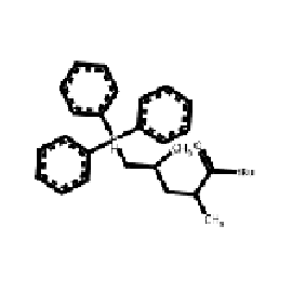 CC(CC(C)C(=O)C(C)(C)C)C[PH](c1ccccc1)(c1ccccc1)c1ccccc1